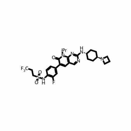 CC(C)n1c(=O)c(-c2ccc(NS(=O)(=O)CCC(F)(F)F)c(F)c2)cc2cnc(N[C@H]3CC[C@H](N4CCC4)CC3)nc21